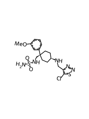 COc1cccc([C@]2(CNS(N)(=O)=O)CC[C@@H](NCc3nnsc3Cl)CC2)c1